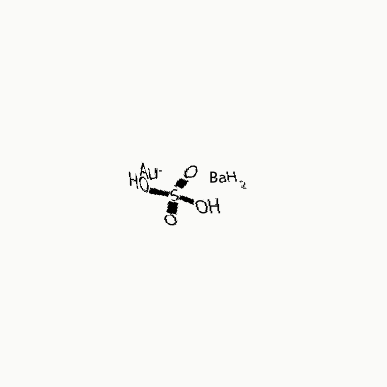 O=S(=O)(O)O.[Au].[BaH2]